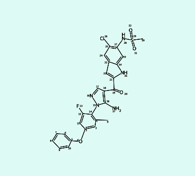 Cc1cc(Oc2ccccc2)cc(F)c1-n1ncc(C(=O)c2cc3cc(Cl)c(NS(C)(=O)=O)cc3[nH]2)c1N